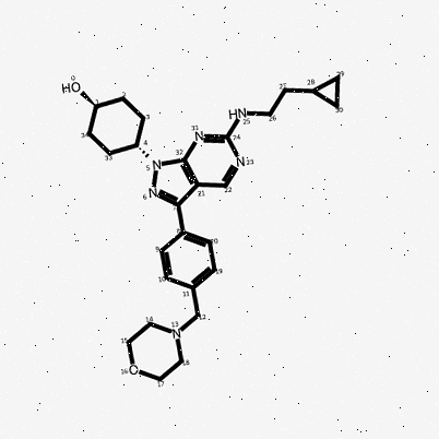 O[C@H]1CC[C@H](n2nc(-c3ccc(CN4CCOCC4)cc3)c3cnc(NCCC4CC4)nc32)CC1